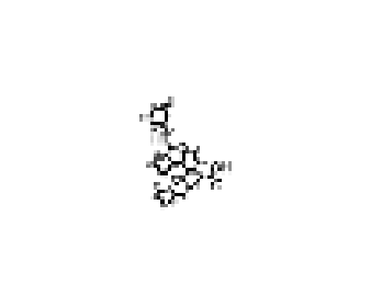 O=C(O)CCN(Cc1ccccc1)C(=O)c1ccccc1-c1ccccc1C(=O)NCc1cccc(Cl)c1